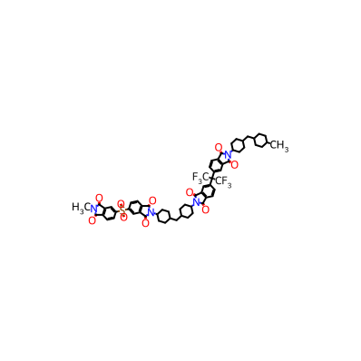 CC1CCC(CC2CCC(N3C(=O)c4ccc(C(c5ccc6c(c5)C(=O)N(C5CCC(CC7CCC(N8C(=O)c9ccc(S(=O)(=O)c%10ccc%11c(c%10)C(=O)N(C)C%11=O)cc9C8=O)CC7)CC5)C6=O)(C(F)(F)F)C(F)(F)F)cc4C3=O)CC2)CC1